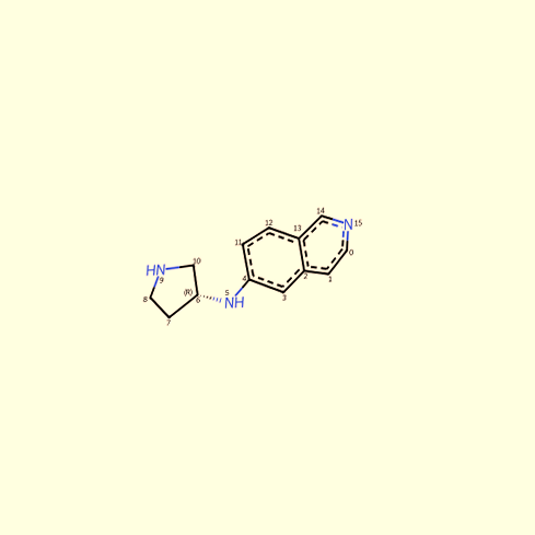 c1cc2cc(N[C@@H]3CCNC3)ccc2cn1